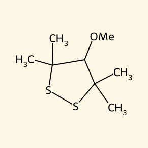 COC1C(C)(C)SSC1(C)C